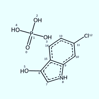 O=P(O)(O)O.Oc1c[nH]c2cc(Cl)ccc12